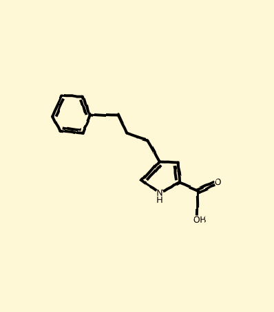 O=C(O)c1cc(CCCc2ccccc2)c[nH]1